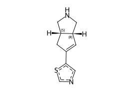 C1=C(c2cncs2)C[C@@H]2CNC[C@H]12